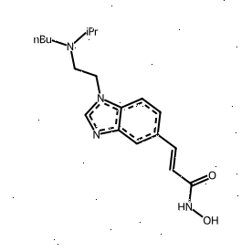 CCCCN(CCn1cnc2cc(C=CC(=O)NO)ccc21)C(C)C